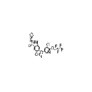 Cc1cc(C(=O)NSN2CCC2)c(F)cc1Oc1cnc(OCC(F)(F)C(F)F)c(Cl)c1